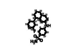 NS(=O)(=O)c1ccc(Nc2ncc3cccc(-c4ccnc(F)c4)c3n2)cc1